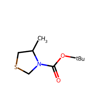 CC1CSCN1C(=O)OC(C)(C)C